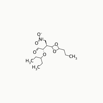 CCCC1OC([C@H](C[N+](=O)[O-])[C@@H](C=O)OC(CC)CC)O1